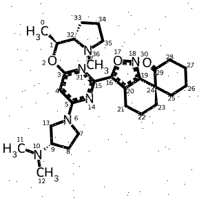 C[C@H](Oc1cc(N2CC[C@H](N(C)C)C2)nc(-c2onc3c2CCC[C@@]32CCCCC2=O)n1)[C@@H]1CCCN1C